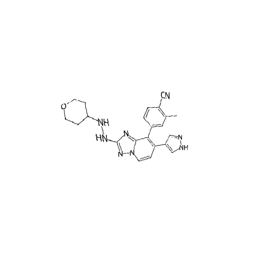 Cc1cc(-c2c(-c3cn[nH]c3)ccn3nc(NNC4CCOCC4)nc23)ccc1C#N